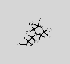 FCC(F)(F)C(F)(F)N1C(F)(F)C(F)(C(F)(F)F)OC(F)(C(F)(F)F)C1(F)F